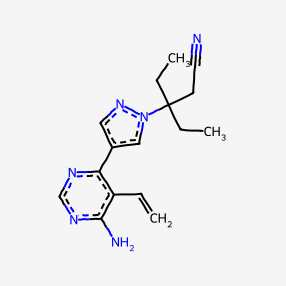 C=Cc1c(N)ncnc1-c1cnn(C(CC)(CC)CC#N)c1